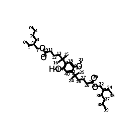 CCCCC(CC)COC(=O)CCCC(C)(C)c1cc(OC)c(C(C)(C)CCCC(=O)OCC(CC)CCCC)cc1O